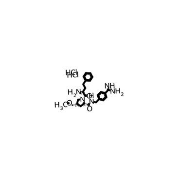 COC[C@H]1C[C@@H](C(=O)NCc2ccc(C(=N)N)cc2)N(C(=O)[C@H](N)CCc2ccccc2)C1.Cl.Cl